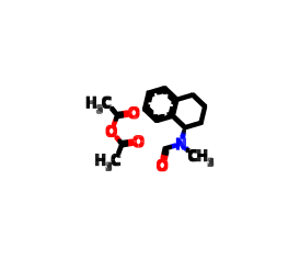 CC(=O)OC(C)=O.CN(C=O)[C@@H]1CCCc2ccccc21